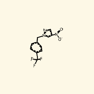 O=[N+]([O-])c1cnn(Cc2ccc(C(F)(F)F)cc2)c1